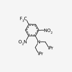 CC(C)CN(CC(C)C)c1c([N+](=O)[O-])cc(C(F)(F)F)cc1[N+](=O)[O-]